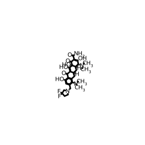 CN(C)c1c(CN2CCC(F)(F)C2)cc(O)c2c1C[C@H]1C[C@H]3[C@H](N(C)C)C(O)=C(C(N)=O)C(=O)[C@@]3(O)C(O)=C1C2=O